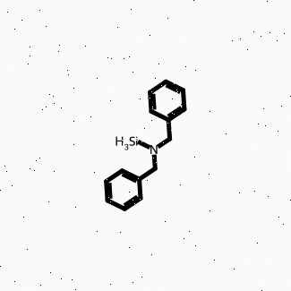 [SiH3]N(Cc1ccccc1)Cc1ccccc1